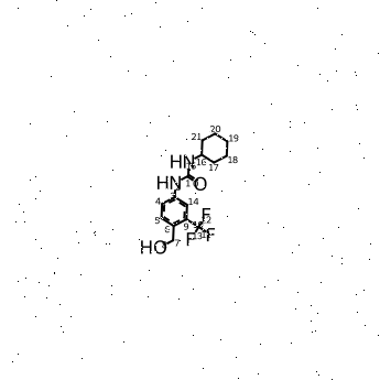 O=C(Nc1ccc(CO)c(C(F)(F)F)c1)NC1CCCCC1